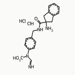 Cl.Cl.N=CN(C(=O)O)c1ccc(CNC(=O)C2(N)Cc3ccccc3C2)cc1